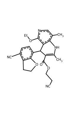 CCOc1ncc(C)c2c1C(c1ccc(C#N)c3c1OCC3)C(C(=O)OCCC#N)=C(C)N2